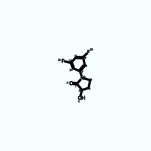 O=C1C(O)CCN1c1cc(F)cc(F)c1